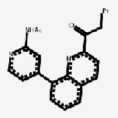 CC(=O)Nc1cc(-c2cccc3ccc(C(=O)CC(C)C)nc23)ccn1